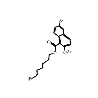 COc1ccc2cc(Br)ccc2c1C(=O)OCCCCCCC(C)C